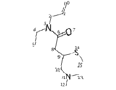 C=CCN(CC)C(=O)CC(CN(C)C)SC